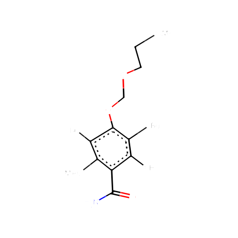 COCCOCOc1c(C(C)(C)C)c(C)c(C(N)=O)c(OC)c1C(C)(C)C